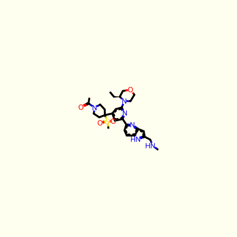 CC[C@H]1COCCN1c1cc(C2(S(C)(=O)=O)CCN(C(C)=O)CC2)cc(-c2ccc3[nH]c(CNC)cc3n2)n1